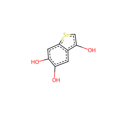 Oc1cc2scc(O)c2cc1O